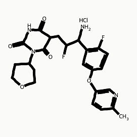 Cc1ccc(Oc2ccc(F)c(C(N)C(F)CC3C(=O)NC(=O)N(C4CCOCC4)C3=O)c2)cn1.Cl